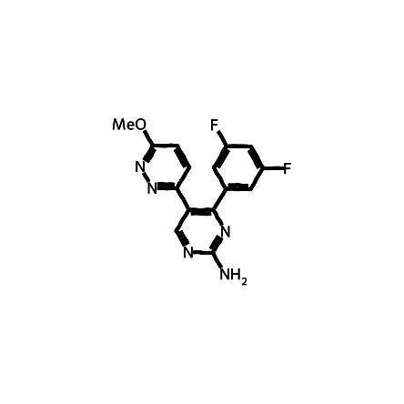 COc1ccc(-c2cnc(N)nc2-c2cc(F)cc(F)c2)nn1